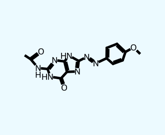 COc1ccc(/N=N/c2nc3c(=O)[nH]c(NC(C)=O)nc3[nH]2)cc1